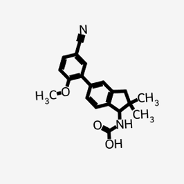 COc1ccc(C#N)cc1-c1ccc2c(c1)CC(C)(C)C2NC(=O)O